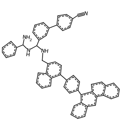 N#Cc1ccc(-c2cccc(C(NCc3ccc(-c4ccc(-c5c6ccccc6cc6c5ccc5ccccc56)cc4)c4ccccc34)NC(N)c3ccccc3)c2)cc1